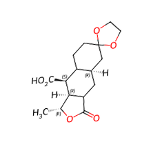 C[C@H]1OC(=O)C2C[C@@H]3CC4(CCC3[C@H](C(=O)O)[C@@H]21)OCCO4